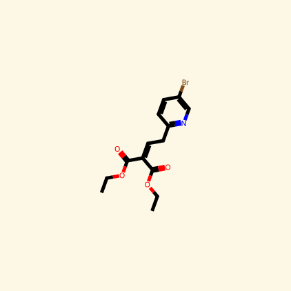 CCOC(=O)C(=CCc1ccc(Br)cn1)C(=O)OCC